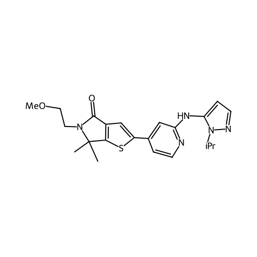 COCCN1C(=O)c2cc(-c3ccnc(Nc4ccnn4C(C)C)c3)sc2C1(C)C